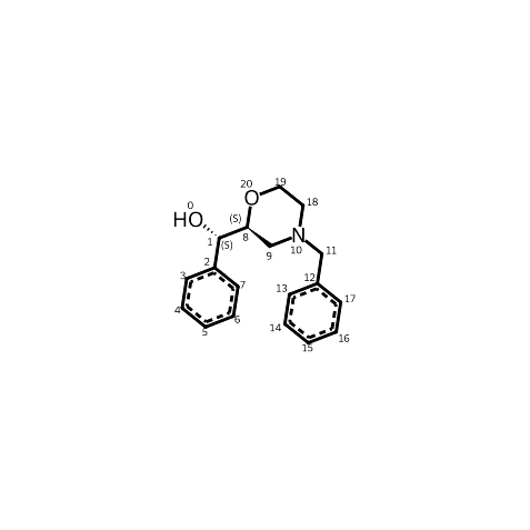 O[C@@H](c1ccccc1)[C@@H]1CN(Cc2ccccc2)CCO1